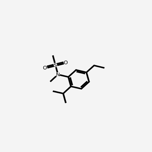 CCc1ccc(C(C)C)c(N(C)S(C)(=O)=O)c1